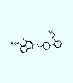 CCOc1ccccc1N1CCN(CCc2cc(=O)c3c(OC)cccc3o2)CC1